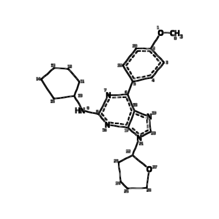 COc1ccc(-c2nc(NC3CCCCC3)nc3c2ncn3C2CCCCO2)cc1